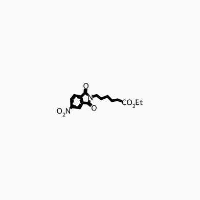 CCOC(=O)CCCCCN1C(=O)c2ccc([N+](=O)[O-])cc2C1=O